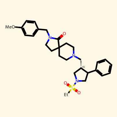 CCS(=O)(=O)N1CC(c2ccccc2)[C@@H](CN2CCC3(CC2)CCN(Cc2ccc(OC)cc2)C3=O)C1